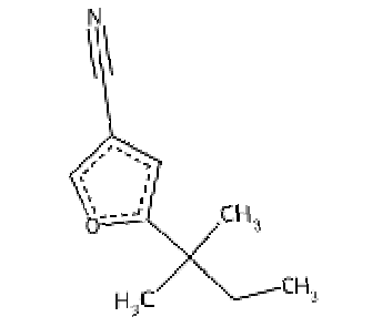 CCC(C)(C)c1cc(C#N)co1